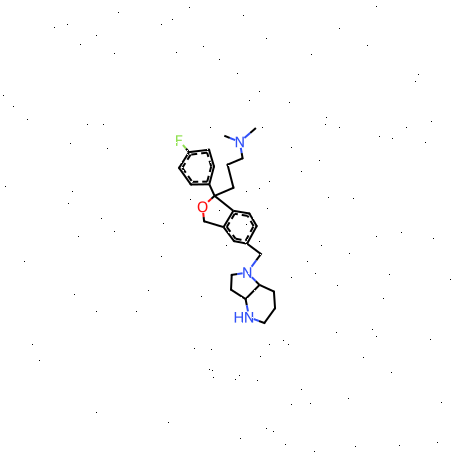 CN(C)CCCC1(c2ccc(F)cc2)OCc2cc(CN3CCC4NCCCC43)ccc21